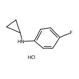 Cl.Fc1ccc(NC2CC2)cc1